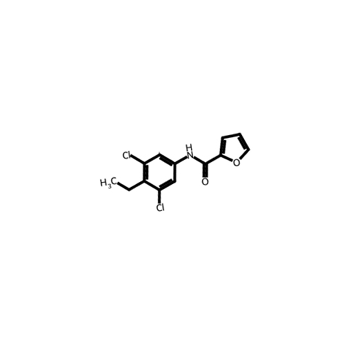 CCc1c(Cl)[c]c(NC(=O)c2ccco2)cc1Cl